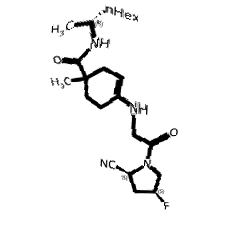 CCCCCC[C@@H](C)NC(=O)C1(C)CC=C(NCC(=O)N2C[C@@H](F)C[C@H]2C#N)CC1